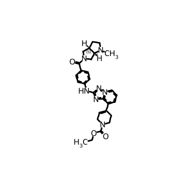 CCOC(=O)N1CC=C(c2cccn3nc(Nc4ccc(C(=O)N5C[C@@H]6CCN(C)[C@@H]6C5)cc4)nc23)CC1